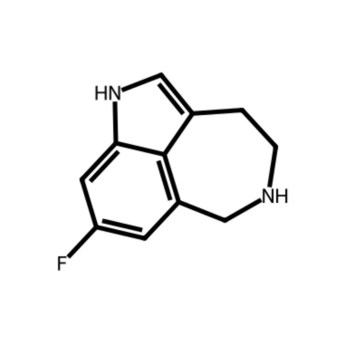 Fc1cc2c3c(c[nH]c3c1)CCNC2